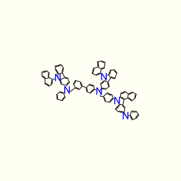 CN(c1ccccc1)c1ccc2c(c1)c1c3ccccc3ccc1n2-c1ccc(CN(c2ccc(-c3cccc(CN(c4ccccc4)c4ccc5c6ccccc6n(-c6cccc7ccccc67)c5c4)c3)cc2)c2ccc3c4ccccc4n(-c4cccc5ccccc45)c3c2)cc1